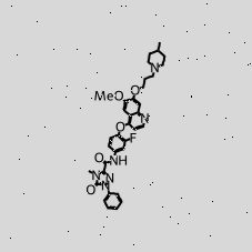 COc1cc2c(Oc3ccc(NC(=O)c4nn(-c5ccccc5)c(=O)n4C)cc3F)ccnc2cc1OCCCN1CCC(C)CC1